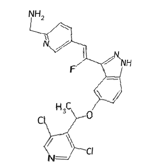 CC(Oc1ccc2[nH]nc(/C(F)=C/c3ccc(CN)nc3)c2c1)c1c(Cl)cncc1Cl